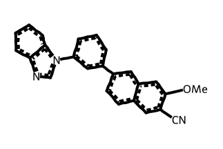 COc1cc2cc(-c3cccc(-n4cnc5ccccc54)c3)ccc2cc1C#N